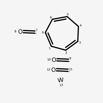 C1=CC=CCC=C1.[C]=O.[C]=O.[C]=O.[W]